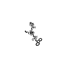 C=CCOP(=O)(OCCNC(=O)OCC1c2ccccc2-c2ccccc21)OCCNC(=O)OC(C)(C)C